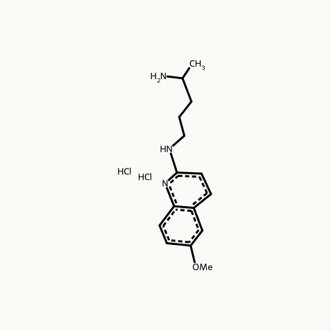 COc1ccc2nc(NCCCC(C)N)ccc2c1.Cl.Cl